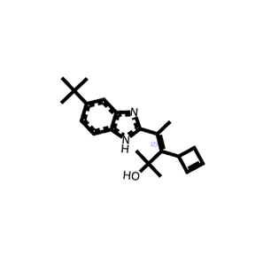 C/C(=C(\C1C=CC1)C(C)(C)O)c1nc2cc(C(C)(C)C)ccc2[nH]1